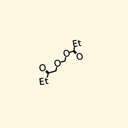 CCC(=O)COCOC(=O)CC